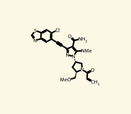 C=CC(=O)N1C[C@@H](n2nc(C#Cc3cc4ncsc4cc3Cl)c(C(N)=O)c2NC)C[C@@H]1COC